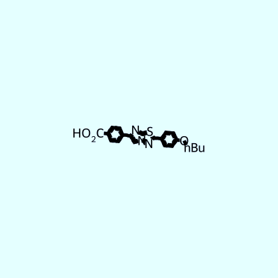 CCCCOc1ccc(-c2nn3cc(-c4ccc(C(=O)O)cc4)nc3s2)cc1